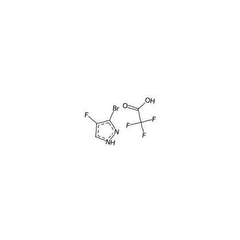 Fc1c[nH]nc1Br.O=C(O)C(F)(F)F